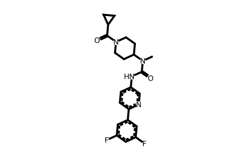 CN(C(=O)Nc1ccc(-c2cc(F)cc(F)c2)nc1)C1CCN(C(=O)C2CC2)CC1